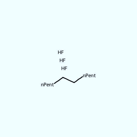 CCCCCCCCCCCC.F.F.F